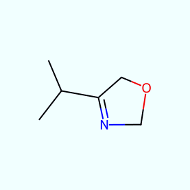 CC(C)C1=NCOC1